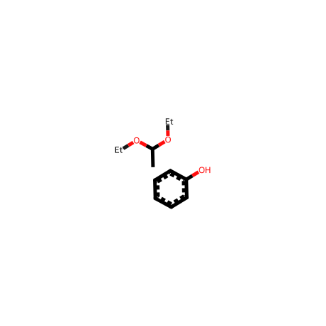 CCOC(C)OCC.Oc1ccccc1